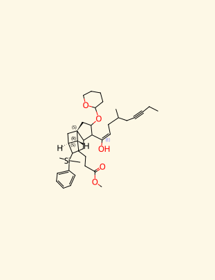 CCC#CCC(C)C/C=C(/O)C1C(OC2CCCCO2)C[C@@]23C[C@H](C([Si](C)(C)c4ccccc4)CC12)[C@H]3CCCC(=O)OC